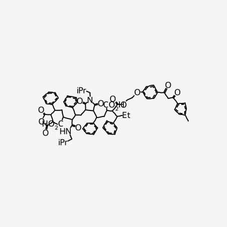 CCC(c1ccccc1)C(C(=O)OCCOc1ccc(C(=O)CC(=O)c2ccc(C)cc2)cc1)C(CC(c1ccccc1)C1C(=O)N(CC(C)C)C(=O)C1CC(c1ccccc1)C(C(=O)NCC(C)C)C(CC(c1ccccc1)C1C(=O)OC(=O)C1C)C(=O)O)C(=O)O